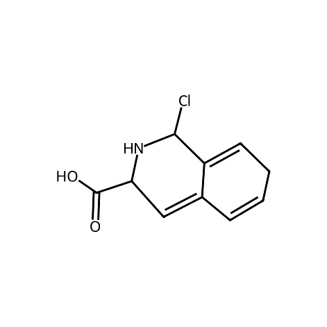 O=C(O)C1C=C2C=CCC=C2C(Cl)N1